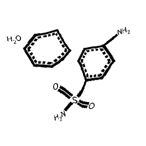 Nc1ccc(S(N)(=O)=O)cc1.O.c1ccccc1